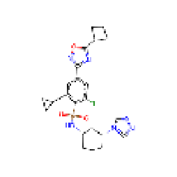 O=S(=O)(N[C@H]1CCC[C@@H](n2cnnc2)C1)c1c(F)cc(-c2noc(C3CCC3)n2)cc1C1CC1